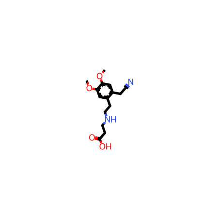 COc1cc(CC#N)c(CCNCCC(=O)O)cc1OC